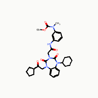 CN(C(=O)OC(C)(C)C)c1cccc(NC(=O)CN2C(=O)N(CC(=O)C3CCCC3)c3ccccc3N(C3CCCCC3)C2=O)c1